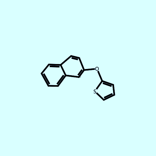 [c]1c(Oc2cccs2)ccc2ccccc12